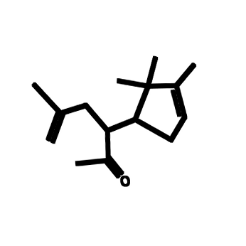 C=C(C)CC(C(C)=O)C1CC=C(C)C1(C)C